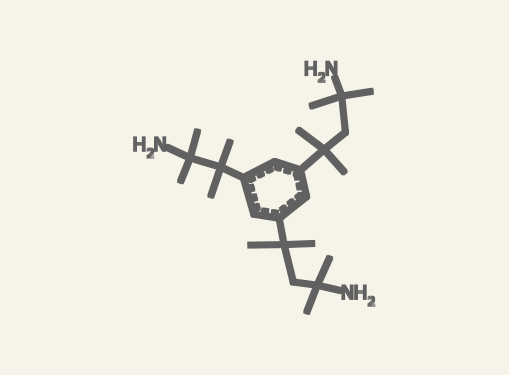 CC(C)(N)CC(C)(C)c1cc(C(C)(C)CC(C)(C)N)cc(C(C)(C)C(C)(C)N)c1